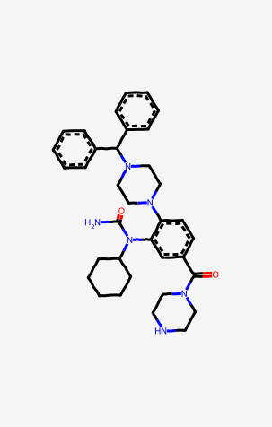 NC(=O)N(c1cc(C(=O)N2CCNCC2)ccc1N1CCN(C(c2ccccc2)c2ccccc2)CC1)C1CCCCC1